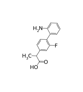 CC(C(=O)O)c1ccc(-c2ccccc2N)c(F)c1